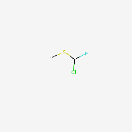 [CH2]SC(F)Cl